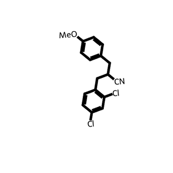 COc1ccc(CC(C#N)Cc2ccc(Cl)cc2Cl)cc1